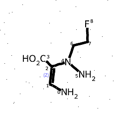 N/C=C(/C(=O)O)N(N)CCF